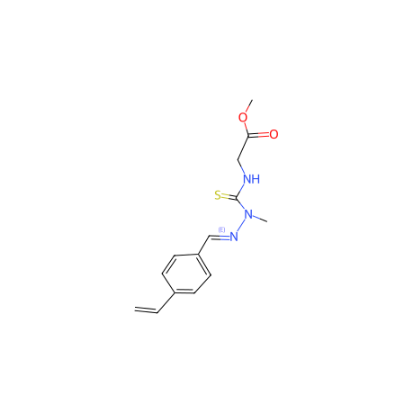 C=Cc1ccc(/C=N/N(C)C(=S)NCC(=O)OC)cc1